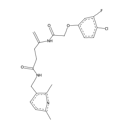 C=C(CCC(=O)NCc1ccc(C)nc1C)NC(=O)COc1ccc(Cl)c(F)c1